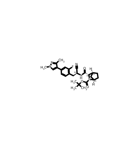 Cc1nn(C)cc1-c1ccc(C[C@@H](C#N)NC(=O)[C@@H]2[C@H]3CC[C@H](C3)N2C(=O)OC(C)(C)C)c(F)c1